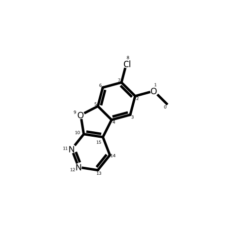 COc1cc2c(cc1Cl)oc1nnccc12